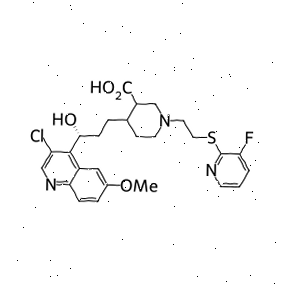 COc1ccc2ncc(Cl)c([C@H](O)CCC3CCN(CCSc4ncccc4F)CC3C(=O)O)c2c1